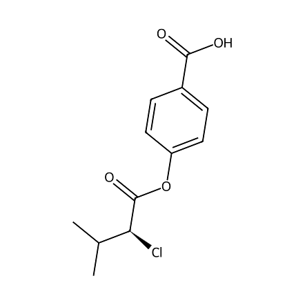 CC(C)[C@H](Cl)C(=O)Oc1ccc(C(=O)O)cc1